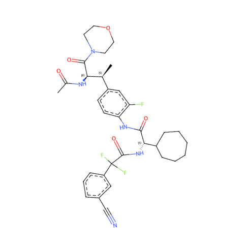 CC(=O)N[C@@H](C(=O)N1CCOCC1)[C@@H](C)c1ccc(NC(=O)[C@@H](NC(=O)C(F)(F)c2cccc(C#N)c2)C2CCCCCC2)c(F)c1